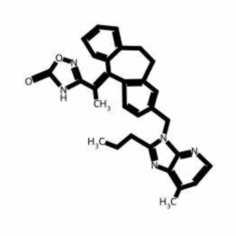 CCCc1nc2c(C)ccnc2n1Cc1ccc2c(c1)CCc1ccccc1C2=C(C)c1noc(=O)[nH]1